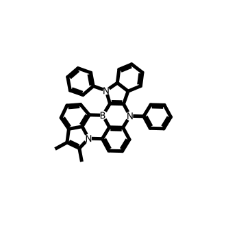 Cc1c(C)n2c3c(cccc13)B1C3=C(C4C=CC=CC4N3c3ccccc3)N(c3ccccc3)c3cccc-2c31